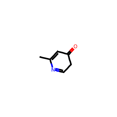 CC1=[C]C(=O)CC=N1